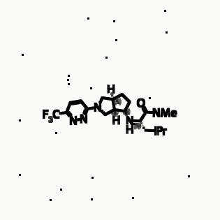 CNC(=O)[C@H](CC(C)C)N[C@H]1CC[C@@H]2CN(c3ccc(C(F)(F)F)nn3)C[C@@H]21